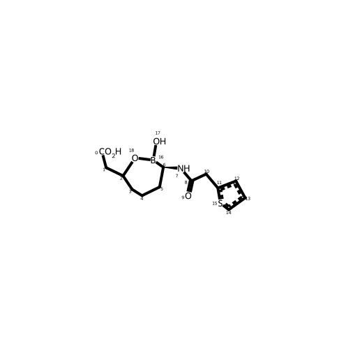 O=C(O)CC1CCC[C@H](NC(=O)Cc2cccs2)B(O)O1